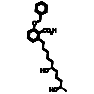 C[C@H](O)CCC[C@H](O)CCCCCc1cccc(OCc2ccccc2)c1C(=O)O